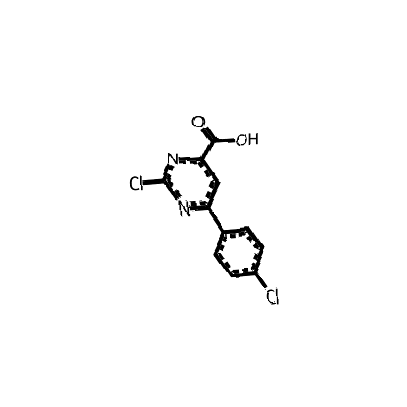 O=C(O)c1cc(-c2ccc(Cl)cc2)nc(Cl)n1